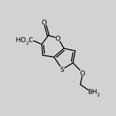 BCOc1cc2oc(=O)c(C(=O)O)cc2s1